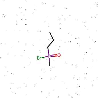 CCCP(C)(=O)Br